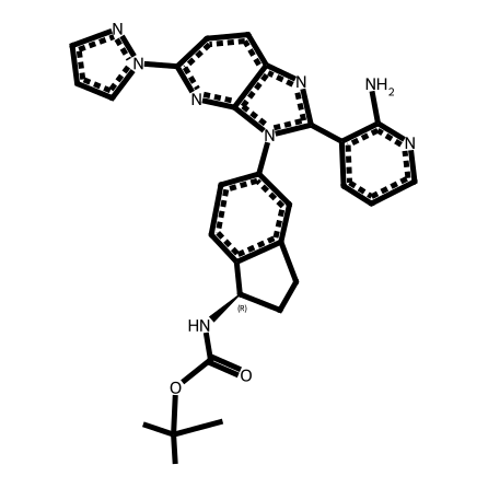 CC(C)(C)OC(=O)N[C@@H]1CCc2cc(-n3c(-c4cccnc4N)nc4ccc(-n5cccn5)nc43)ccc21